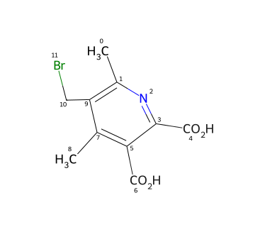 Cc1nc(C(=O)O)c(C(=O)O)c(C)c1CBr